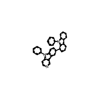 c1ccc(-n2c3ccncc3c3cc(-c4cccc5c6ccccc6n(-c6ccccc6)c45)ccc32)cc1